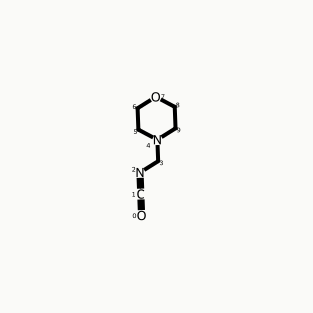 O=C=NCN1CCOCC1